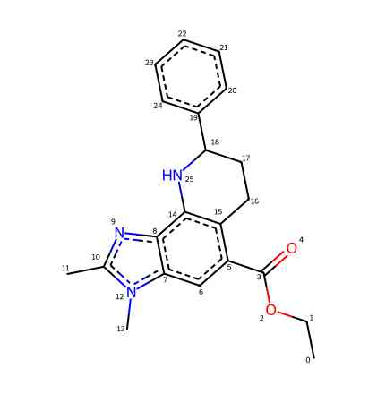 CCOC(=O)c1cc2c(nc(C)n2C)c2c1CCC(c1ccccc1)N2